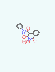 CN(C(=O)C1C(=O)N(O)C(=O)c2ccccc21)c1ccccc1